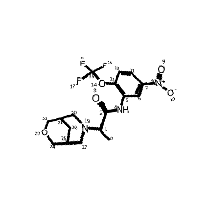 CC(C(=O)Nc1cc([N+](=O)[O-])ccc1OC(F)(F)F)N1CC2COCC(C2)C1